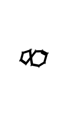 C1=CCC2(CCC1)CCCC2